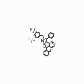 O=C(c1ccccc1Cl)c1ccnnc1-c1nnn(Cc2cc(C(F)(F)F)cc(C(F)(F)F)c2)c1-c1ccccc1